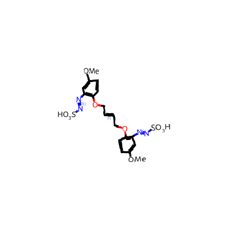 COc1ccc(OC/C=C/COc2ccc(OC)cc2/N=N/S(=O)(=O)O)c(/N=N/S(=O)(=O)O)c1